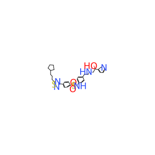 O=S(=O)(Nc1ccc(CCNCC(O)c2cccnc2)cc1)c1ccc(-c2nsc(CCCC3CCCC3)n2)cc1